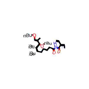 C=C/C(=C/C)C(=O)NC(=O)CCCCC(C(C(OCCCC)C(C)COCCCC)[C@H](C)CC)[C@H](C)CC